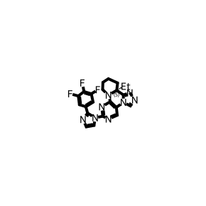 CC[C@@]12CCCCN1c1nc(-n3ccnc3-c3cc(F)c(F)c(F)c3)ncc1-n1cnnc12